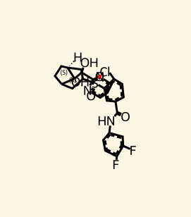 O=C(Nc1ccc(F)c(F)c1)c1ccc(Cl)c(S(=O)(=O)C2CC3CC[C@@H](C2)[C@@]3(O)C(O)c2ncccn2)c1